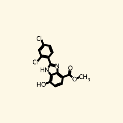 COC(=O)c1ccc(O)c2[nH]c(-c3ccc(Cl)cc3Cl)nc12